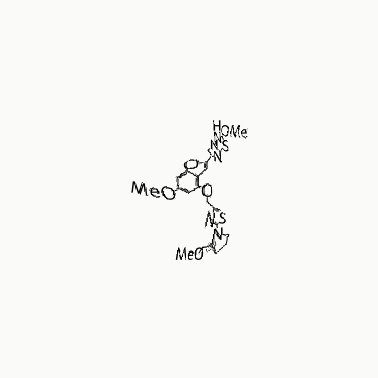 COC[C@@H]1CCCN1c1nc(COc2cc(OC)cc3oc(-c4cn5c(n4)SC(OC)N5)cc23)cs1